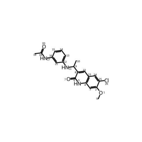 COc1cc2[nH]c(=O)c(C(C)Nc3cccc(NC(C)=O)c3)cc2cc1Cl